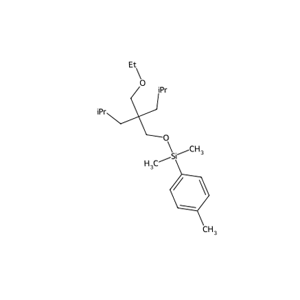 CCOCC(CO[Si](C)(C)c1ccc(C)cc1)(CC(C)C)CC(C)C